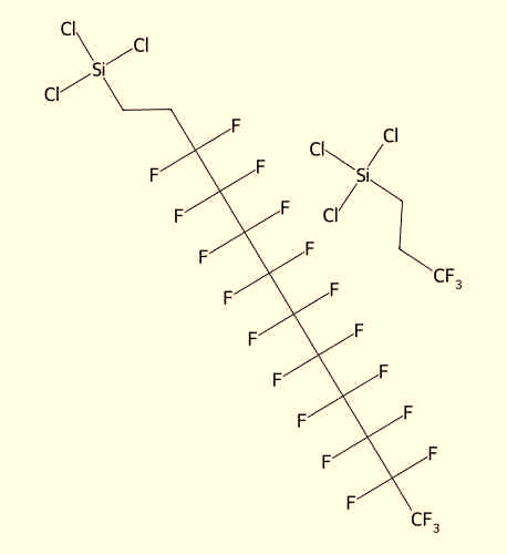 FC(F)(F)C(F)(F)C(F)(F)C(F)(F)C(F)(F)C(F)(F)C(F)(F)C(F)(F)C(F)(F)C(F)(F)CC[Si](Cl)(Cl)Cl.FC(F)(F)CC[Si](Cl)(Cl)Cl